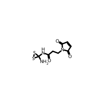 NC1(NC(=O)CCN2C(=O)C=CC2=O)SS1